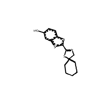 Oc1ccc2nc(C3=NCC4(CCCCC4)S3)sc2c1